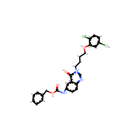 O=C(Nc1ccc2ncn(CCCCOc3cc(Cl)ccc3Cl)c(=O)c2c1)OCc1ccccc1